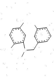 CCCCN(Cc1cccc(S(=O)(=O)O)c1)c1cc(NC(C)=O)ccc1OC